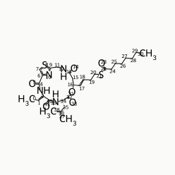 C/C=C1\NC(=O)c2csc(n2)CNC(=O)C[C@@H](/C=C/CCSC(=O)CCCCCCC)OC(=O)[C@H](CC(C)C)NC1=O